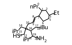 CCCC1CC(CC)CCC1C=CCC(CS)(CC(C)C)C(CC(C)CC)C(N)C(C)C